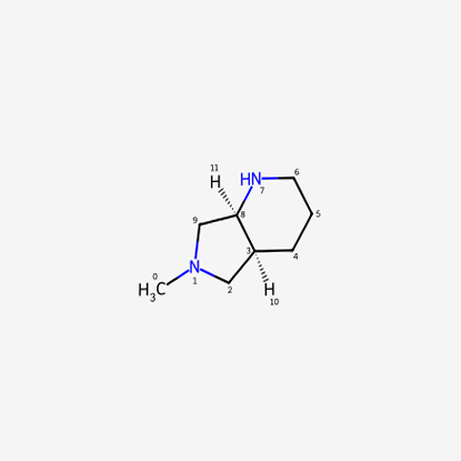 CN1C[C@@H]2CCCN[C@@H]2C1